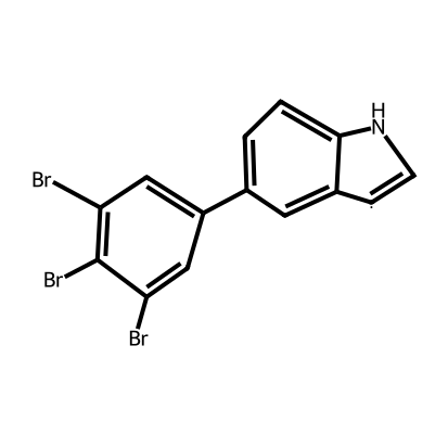 Brc1cc(-c2ccc3[nH]c[c]c3c2)cc(Br)c1Br